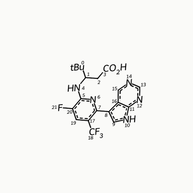 CC(C)(C)C(CC(=O)O)Nc1nc(-c2c[nH]c3ncncc23)c(C(F)(F)F)cc1F